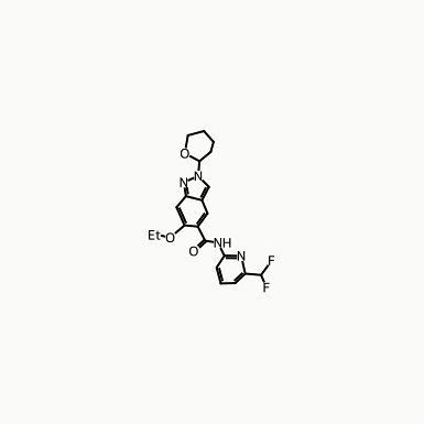 CCOc1cc2nn(C3CCCCO3)cc2cc1C(=O)Nc1cccc(C(F)F)n1